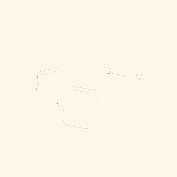 COC(=O)c1cccc2sccc12